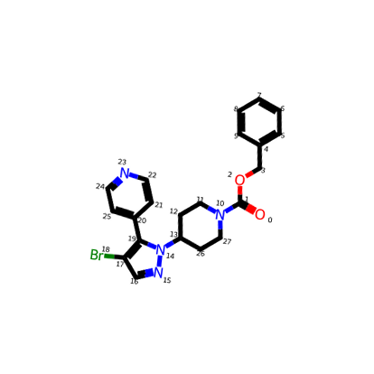 O=C(OCc1ccccc1)N1CCC(n2ncc(Br)c2-c2ccncc2)CC1